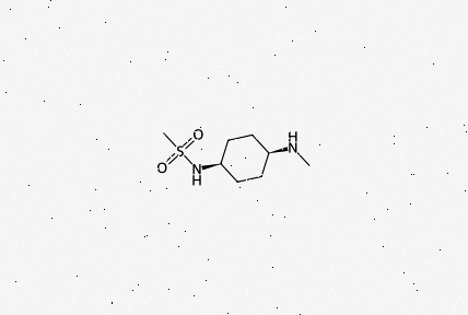 CN[C@H]1CC[C@@H](NS(C)(=O)=O)CC1